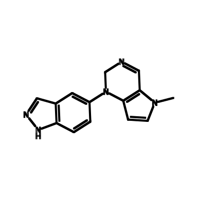 Cn1ccc2c1C=NCN2c1ccc2[nH]ncc2c1